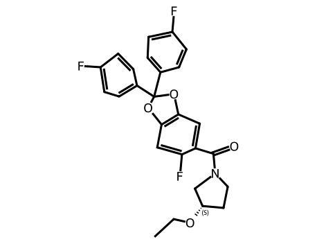 CCO[C@H]1CCN(C(=O)c2cc3c(cc2F)OC(c2ccc(F)cc2)(c2ccc(F)cc2)O3)C1